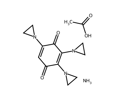 CC(=O)O.N.O=C1C=C(N2CC2)C(=O)C(N2CC2)=C1N1CC1